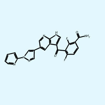 NC(=O)c1ccc(F)c(C(=O)c2c[nH]c3ncc(-c4cnn(-c5ccccn5)c4)cc23)c1F